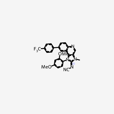 COc1ccc(-n2/c(=N\C#N)n(C)c3cnc4ccc(-c5ccc(C(F)(F)F)cc5)cc4c32)c(OC)c1